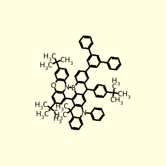 CC(C)(C)c1ccc(C2c3cc(-c4cc(-c5ccccc5)cc(-c5ccccc5)c4)ccc3B3c4c2cc2c(c4-c4cc(C(C)(C)C)cc5c4N3c3ccc(C(C)(C)C)cc3O5)C(C)(C)c3ccccc3N2c2ccccc2)cc1